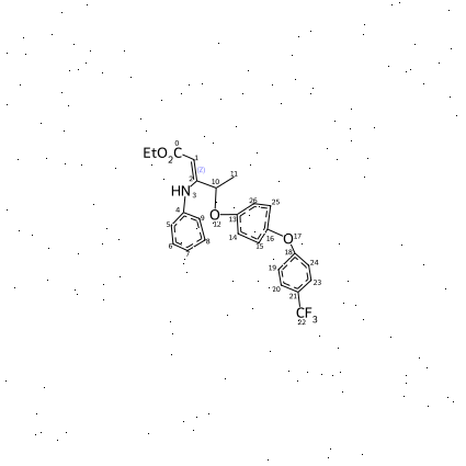 CCOC(=O)/C=C(\Nc1ccccc1)C(C)Oc1ccc(Oc2ccc(C(F)(F)F)cc2)cc1